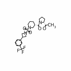 CC(=O)[C@H]1CCCN1C(=O)[C@H]1CCCN(S(=O)(=O)N2CC(c3cccc(C(F)(F)F)c3)C2)C1